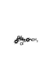 C=CCc1ccc(OCCOCC[N+](C)(C)Cc2ccccc2)cc1.[Cl-]